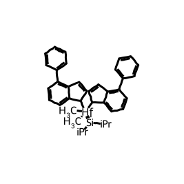 CC(C)[Si](C(C)C)=[Hf]([CH3])([CH3])([CH]1C=Cc2c(-c3ccccc3)cccc21)[CH]1C=Cc2c(-c3ccccc3)cccc21